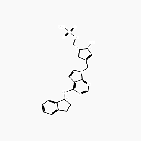 NS(=O)(=O)NC[C@@H]1CC(Cn2ccc3c(N[C@H]4CCc5ccccc54)ncnc32)=C[C@@H]1O